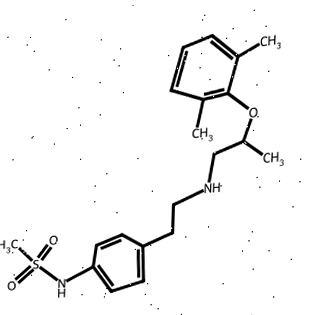 Cc1cccc(C)c1OC(C)CNCCc1ccc(NS(C)(=O)=O)cc1